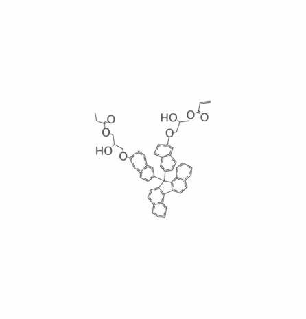 C=CC(=O)OCC(O)COc1ccc2cc(C3(c4ccc5cc(OCC(O)COC(=O)CC)ccc5c4)c4ccc5ccccc5c4-c4ccc5ccccc5c43)ccc2c1